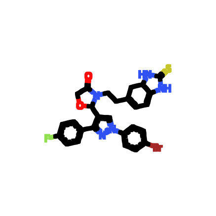 O=C1COC(c2cn(-c3ccc(Br)cc3)nc2-c2ccc(F)cc2)N1CCC1=CC=C2NC(=S)NC2C1